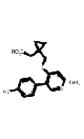 N#Cc1ccc(-c2cnccc2SCC2(CC(=O)O)CC2)cc1.[CaH2]